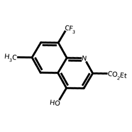 CCOC(=O)c1cc(O)c2cc(C)cc(C(F)(F)F)c2n1